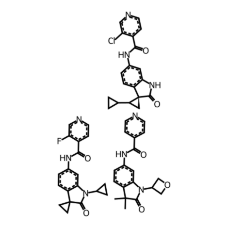 CC1(C)C(=O)N(C2COC2)c2cc(NC(=O)c3ccncc3)ccc21.O=C(Nc1ccc2c(c1)N(C1CC1)C(=O)C21CC1)c1ccncc1F.O=C(Nc1ccc2c(c1)NC(=O)[C@@]21CC1C1CC1)c1ccncc1Cl